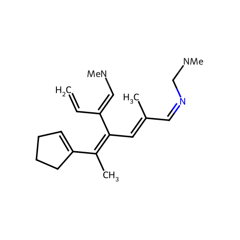 C=CC(=C\NC)/C(/C=C(C)/C=N\CNC)=C(/C)C1=CCCC1